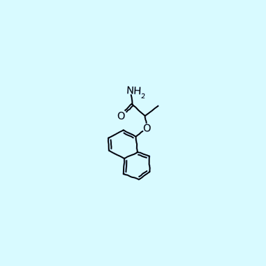 CC(Oc1cccc2ccccc12)C(N)=O